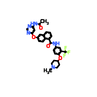 CC(=O)Nc1cc(Oc2ccc3c(C(=O)Nc4ccc(OC5CCN(C)CC5)c(C(F)(F)F)c4)cccc3c2)ncn1